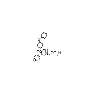 O=C(O)CNCC(N1CCOCC1)S(=O)(=O)c1ccc(Sc2ccccc2)cc1